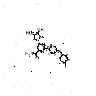 NC(=O)c1cc(N2C[C@@H](O)[C@H](O)C2)nc(-c2ccc(Oc3ccc(F)cc3)cc2)n1